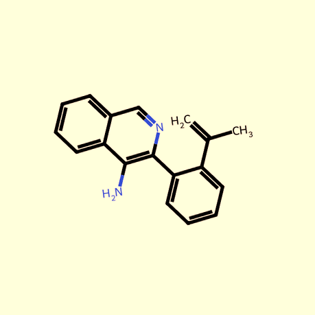 C=C(C)c1ccccc1-c1ncc2ccccc2c1N